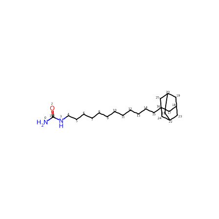 NC(=O)NCCCCCCCCCCCCC12CC3CC(CC(C3)C1)C2